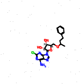 CC(CCc1ccccc1)OC[C@H]1O[C@@H](n2cnc3c(N)nc(Cl)nc32)[C@H](O)[C@@H]1O